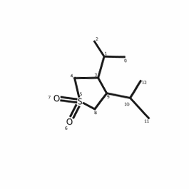 CC(C)C1CS(=O)(=O)CC1C(C)C